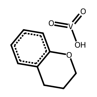 [O]=[V](=[O])[OH].c1ccc2c(c1)CCCO2